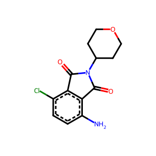 Nc1ccc(Cl)c2c1C(=O)N(C1CCOCC1)C2=O